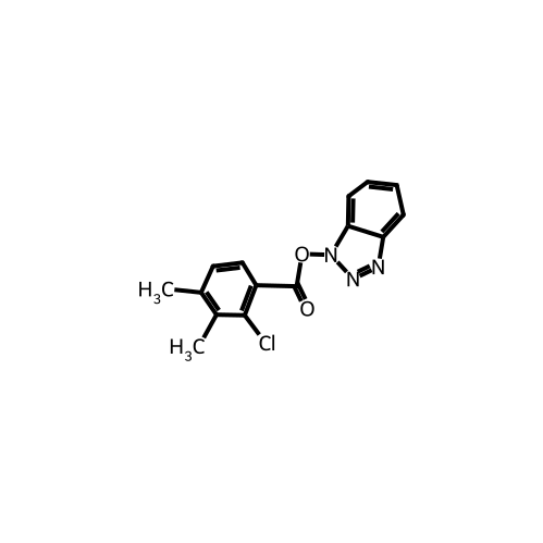 Cc1ccc(C(=O)On2nnc3ccccc32)c(Cl)c1C